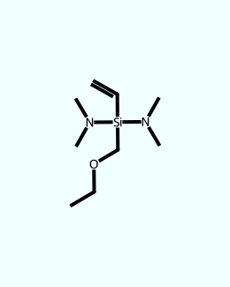 C=C[Si](COCC)(N(C)C)N(C)C